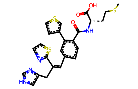 CSCC[C@H](NC(=O)c1ccc(C=C(Cc2c[nH]cn2)c2nccs2)cc1-c1ccsc1)C(=O)O